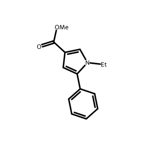 CCn1cc(C(=O)OC)cc1-c1ccccc1